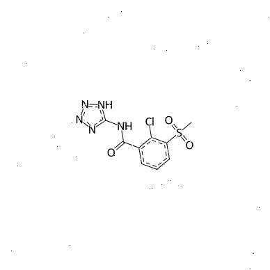 CS(=O)(=O)c1cccc(C(=O)Nc2nnn[nH]2)c1Cl